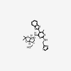 Cc1nc(NCc2nccs2)nc(N[C@@H]2C[C@H](CO)[C@H]3OC(C)(C)O[C@H]32)c1-c1nc2ccccc2s1